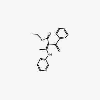 CCOC(=O)C(C(=O)c1ccccc1)=C(C)Nc1cccnc1